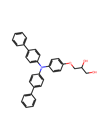 OCC(O)COc1ccc(N(c2ccc(-c3ccccc3)cc2)c2ccc(-c3ccccc3)cc2)cc1